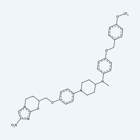 CN(c1ccc(OCc2ccc(OC(F)(F)F)cc2)cc1)C1CCN(c2ccc(OCC3CCn4cc([N+](=O)[O-])nc4O3)cc2)CC1